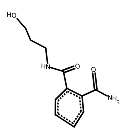 NC(=O)c1ccccc1C(=O)NCCCO